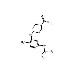 C[C@@H](CO)Nc1ncc(N)c(N[C@H]2CC[C@H](C(N)=O)CC2)n1